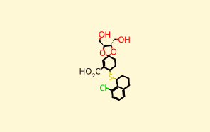 O=C(O)C1=CC2(CC[C@H]1S[C@H]1CCCc3cccc(Cl)c31)O[C@@H](CO)[C@H](CO)O2